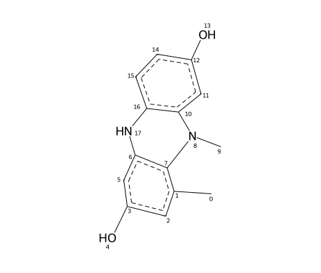 Cc1cc(O)cc2c1N(C)c1cc(O)ccc1N2